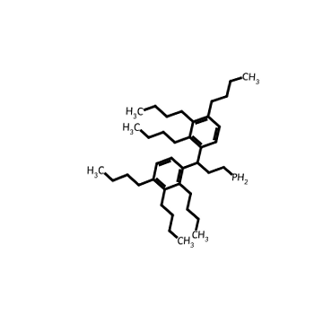 CCCCc1ccc(C(CCP)c2ccc(CCCC)c(CCCC)c2CCCC)c(CCCC)c1CCCC